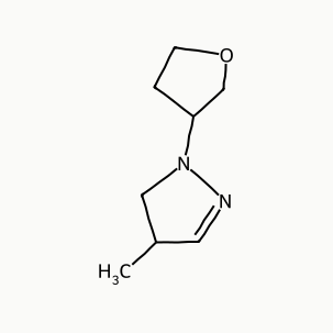 CC1C=NN(C2CCOC2)C1